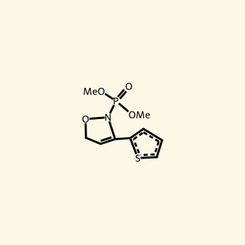 COP(=O)(OC)N1OCC=C1c1cccs1